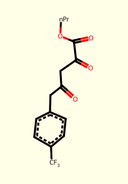 CCCOC(=O)C(=O)CC(=O)Cc1ccc(C(F)(F)F)cc1